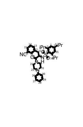 CC(C)c1cc(C(C)C)c(S(=O)(=O)NC(Cc2cccc(C#N)c2)C(=O)N2CCN(c3ccccc3)CC2)c(C(C)C)c1